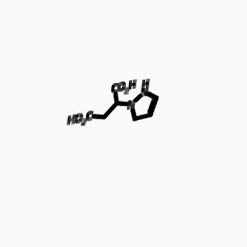 O=C(O)CC(C(=O)O)N1CC=CN1